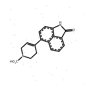 O=C1Nc2ccc(C3=CCN(C(=O)O)CC3)c3cccc1c23